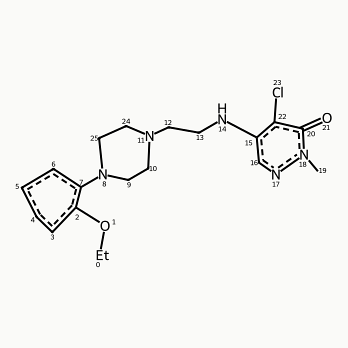 CCOc1ccccc1N1CCN(CCNc2cnn(C)c(=O)c2Cl)CC1